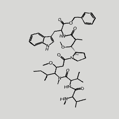 CCC(C)C(C(CC(=O)N1CCC[C@H]1C(OC)C(C)C(=O)NC(Cc1c[nH]c2ccccc12)C(=O)OCc1ccccc1)OC)N(C)C(=O)C(NC(=O)C(NC)C(C)C)C(C)C